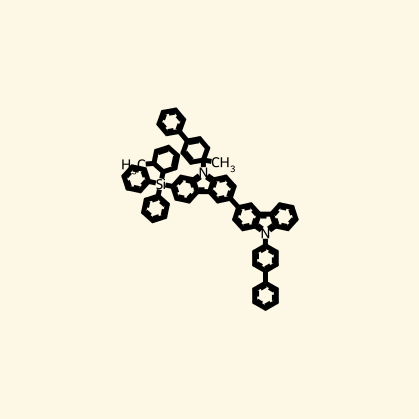 CC1C=CC=CC1[Si](c1ccccc1)(c1ccccc1)c1ccc2c3cc(-c4ccc5c(c4)c4ccccc4n5-c4ccc(-c5ccccc5)cc4)ccc3n(C3(C)C=CC(c4ccccc4)=CC3)c2c1